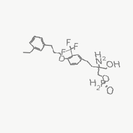 CCc1cccc(CCCOc2ccc(CCC(N)(CO)CO[PH2]=O)cc2C(F)(F)F)c1